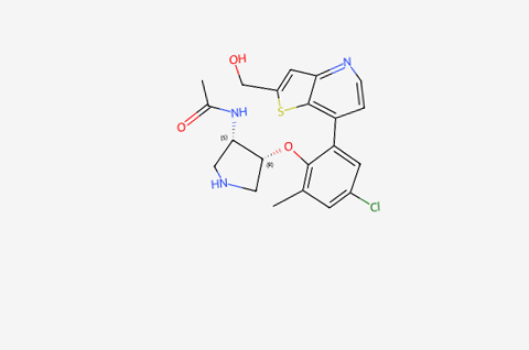 CC(=O)N[C@H]1CNC[C@H]1Oc1c(C)cc(Cl)cc1-c1ccnc2cc(CO)sc12